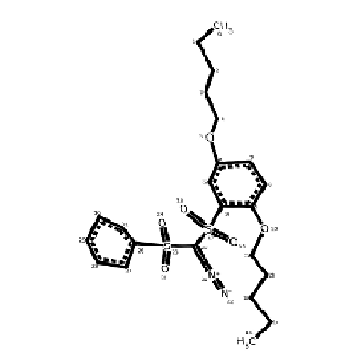 CCCCCOc1ccc(OCCCCC)c(S(=O)(=O)C(=[N+]=[N-])S(=O)(=O)c2ccccc2)c1